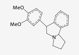 COc1ccc(C2CN3CCCC3c3ccccc32)cc1OC